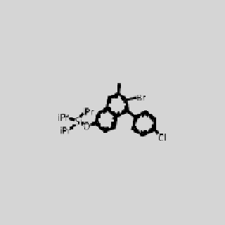 Cc1cc2cc(O[Si](C(C)C)(C(C)C)C(C)C)ccc2c(-c2ccc(Cl)cc2)c1Br